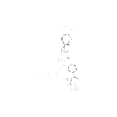 CC1(NC(=O)c2cccc([C@@H](CCN3CCC(C(=O)O)CC3)NC(=O)c3nc4cc5c(nc4s3)C(C(C)(C)C)CCC5)c2)CNC1